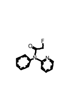 O=C(CF)N(c1ccccc1)c1ccccn1